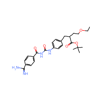 CCOCCC(Cc1ccc(NC(=O)NC(=O)c2ccc(C(=N)N)cc2)cc1)C(=O)OC(C)(C)C